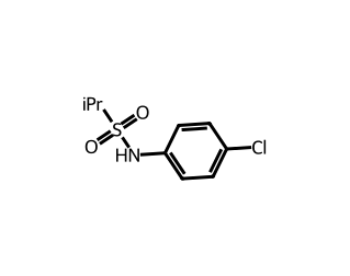 CC(C)S(=O)(=O)Nc1ccc(Cl)cc1